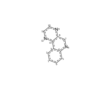 c1ccc2c(c1)ncc1nccnc12